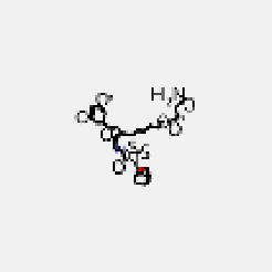 COc1cc(OC)cc(-c2cc(CCCCCOC(=O)[C@@H](C)CC(N)=O)c(/C=C3\SC(=S)N(C4CC5CCC4C5)C3=O)o2)c1